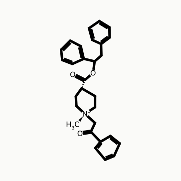 C[N@+]1(CC(=O)c2ccccc2)CC[C@@H](C(=O)OC(Cc2ccccc2)c2ccccc2)CC1